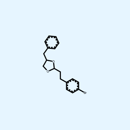 Brc1ccc(CCC2OCC(Cc3ccccc3)O2)cc1